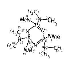 CNP1(N(C)C)=NP(NC)(N(C)C)=NP(NC)(N(C)C)=N1